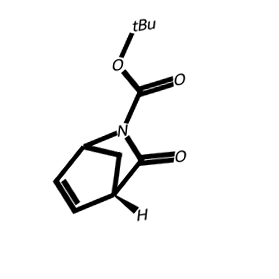 CC(C)(C)OC(=O)N1C(=O)[C@@H]2C=CC1C2